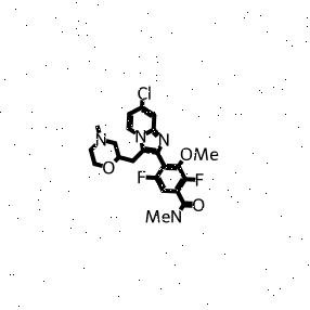 CNC(=O)c1cc(F)c(-c2nc3cc(Cl)ccn3c2CC2CN(C)CCO2)c(OC)c1F